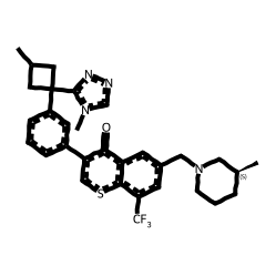 CC1CC(c2cccc(-c3csc4c(C(F)(F)F)cc(CN5CCC[C@H](C)C5)cc4c3=O)c2)(c2nncn2C)C1